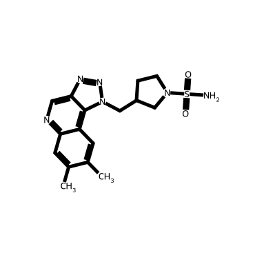 Cc1cc2ncc3nnn(CC4CCN(S(N)(=O)=O)C4)c3c2cc1C